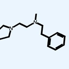 CN(CCc1ccccc1)CCN1CCCC1